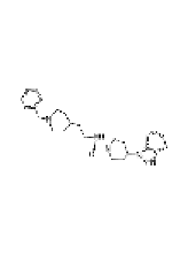 O=C(NCCC1CCN(Cc2ccccc2)CC1)N1CCC(n2nnc3ccccc32)CC1